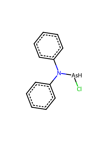 Cl[AsH]N(c1ccccc1)c1ccccc1